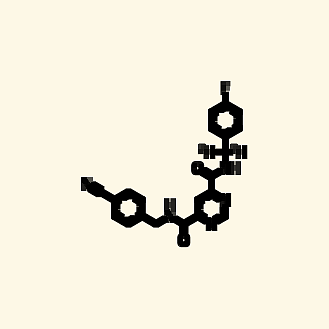 [2H]C([2H])(NC(=O)c1cc(C(=O)NCc2ccc(C#N)cc2)ncn1)c1ccc(F)cc1